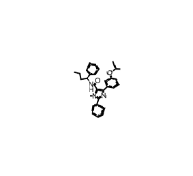 CCCC(NC(=O)c1c(-c2cccc(OC(C)C)c2)nc(-c2ccccc2)n1C)c1ccccc1